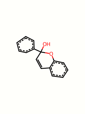 OC1(c2ccccc2)C=Cc2ccccc2O1